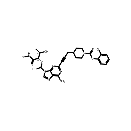 CCNC(=O)[C@@H](OC(O)n1cnc2c(N)nc(C#CCC3CCN(C(=O)Oc4ccccc4Cl)CC3)nc21)[C@@H](C)O